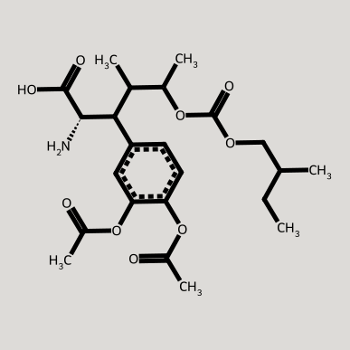 CCC(C)COC(=O)OC(C)C(C)C(c1ccc(OC(C)=O)c(OC(C)=O)c1)[C@H](N)C(=O)O